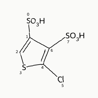 O=S(=O)(O)c1csc(Cl)c1S(=O)(=O)O